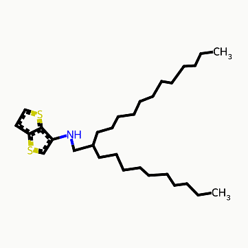 CCCCCCCCCCCCC(CCCCCCCCCC)CNc1csc2ccsc12